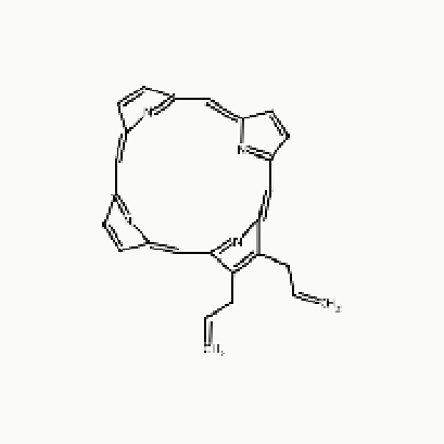 C=CCC1=C(CC=C)C2=NC1=CC1=NC(=CC3=NC(=CC4=NC(=C2)C=C4)C=C3)C=C1